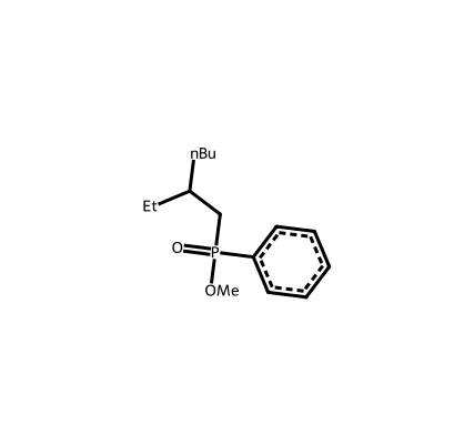 CCCCC(CC)CP(=O)(OC)c1ccccc1